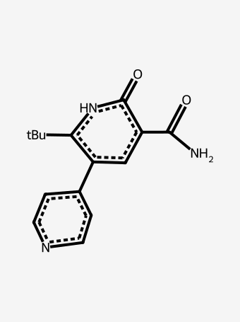 CC(C)(C)c1[nH]c(=O)c(C(N)=O)cc1-c1ccncc1